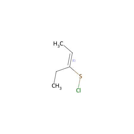 C/C=C(\CC)SCl